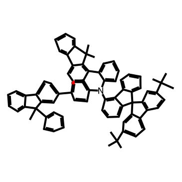 CC(C)(C)c1ccc2c(c1)C1(c3cc(C(C)(C)C)ccc3-2)c2ccccc2-c2c(N(c3ccc(-c4ccc5c(c4)C(C)(c4ccccc4)c4ccccc4-5)cc3)c3ccccc3-c3cccc4c3C(C)(C)c3ccccc3-4)cccc21